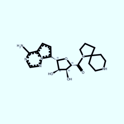 Nc1ncnn2c([C@@H]3O[C@H](C(=O)N4CCCC45CCNCC5)[C@@H](O)[C@H]3O)ccc12